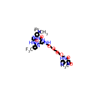 CC(C)N(C)[C@@H]1CC[C@H](N2CC[C@H](Nc3ncnc4ccc(C(F)(F)F)cc34)C2=O)[C@H](NC(=O)c2cccc(NCCOCCOCCOCCOCCNC(=O)[C@H]3CC(=O)N(C)[C@@H]3c3cccnc3)n2)C1